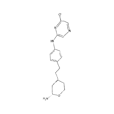 N[C@@H]1CC(CCc2ccc(Nc3cncc(Cl)n3)cc2)CCO1